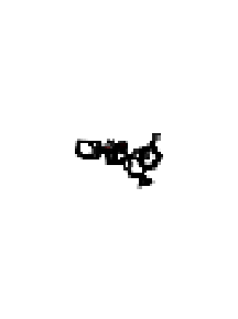 N#Cc1ccc(N2C3CCC2CN(C(=O)COCC2(c4ccc(F)cc4)CC2)C3)nc1